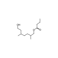 CCCC(=O)OCC(C)CCC(C)CCO